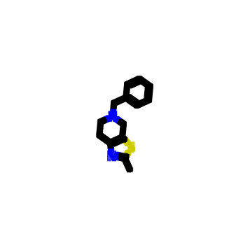 Cc1nc2c(s1)CN(Cc1ccccc1)CC2